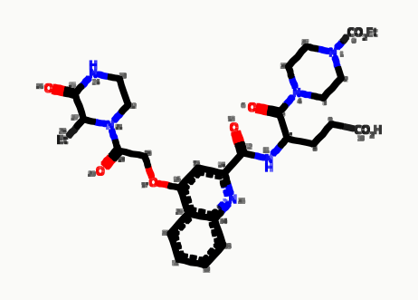 CCOC(=O)N1CCN(C(=O)C(CCC(=O)O)NC(=O)c2cc(OCC(=O)N3CCNC(=O)C3CC)c3ccccc3n2)CC1